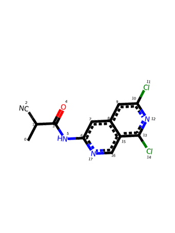 CC(C#N)C(=O)Nc1cc2cc(Cl)nc(Cl)c2cn1